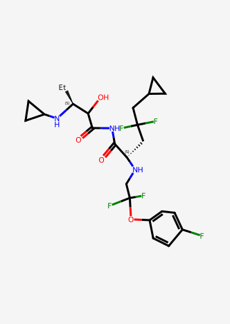 CC[C@H](NC1CC1)C(O)C(=O)NC(=O)[C@H](CC(F)(F)CC1CC1)NCC(F)(F)Oc1ccc(F)cc1